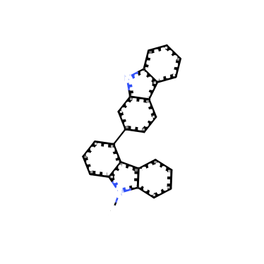 Cn1c2ccccc2c2c(-c3ccc4c(c3)[nH]c3ccccc34)cccc21